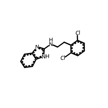 Clc1cccc(Cl)c1CCNc1nc2ccccc2[nH]1